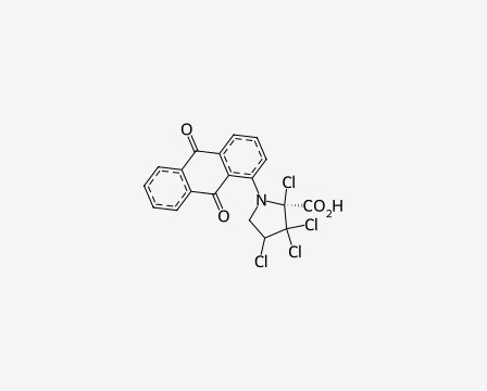 O=C1c2ccccc2C(=O)c2c1cccc2N1CC(Cl)C(Cl)(Cl)[C@@]1(Cl)C(=O)O